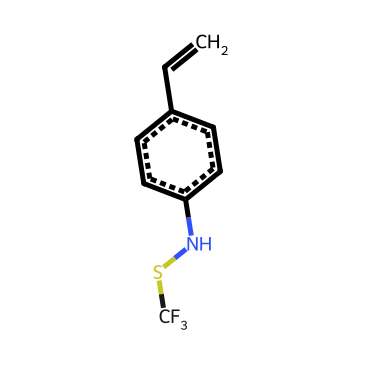 C=Cc1ccc(NSC(F)(F)F)cc1